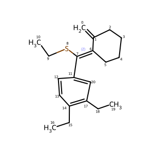 C=C1CCCC/C1=C(/SCC)c1ccc(CC)c(CC)c1